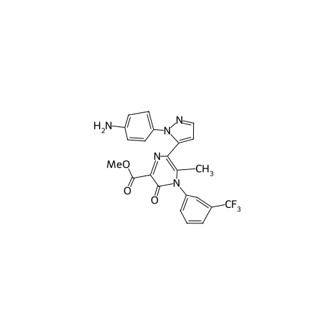 COC(=O)c1nc(-c2ccnn2-c2ccc(N)cc2)c(C)n(-c2cccc(C(F)(F)F)c2)c1=O